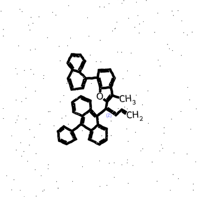 C=C/C=C(\c1oc2c(-c3cccc4ccccc34)cccc2c1C)c1c2ccccc2c(-c2ccccc2)c2ccccc12